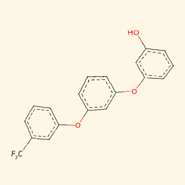 Oc1cccc(Oc2cccc(Oc3cccc(C(F)(F)F)c3)c2)c1